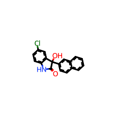 O=C1Nc2ccc(Cl)cc2C1(O)c1ccc2ccccc2c1